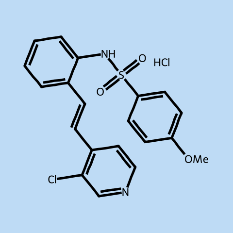 COc1ccc(S(=O)(=O)Nc2ccccc2C=Cc2ccncc2Cl)cc1.Cl